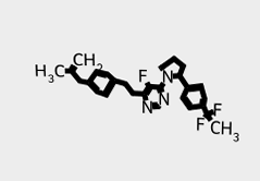 C=C(C)Cc1ccc(CCc2ncnc(N3CCCC3c3ccc(C(C)(F)F)cc3)c2F)cc1